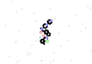 Cc1ccc(F)c(C(=O)N(C)C2CCc3ccc(C(=O)N(C)C4CCN(c5ccncc5)CC4)cc32)c1Cl